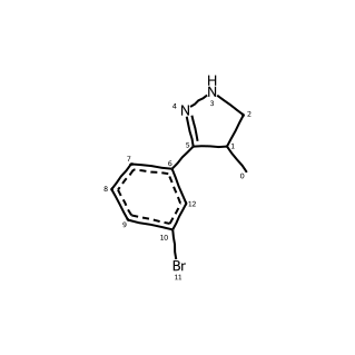 CC1CNN=C1c1cccc(Br)c1